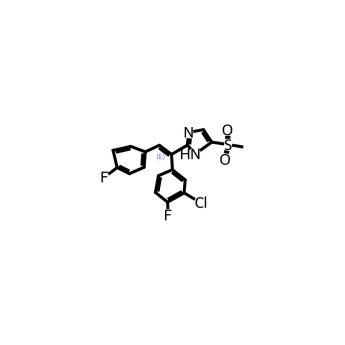 CS(=O)(=O)c1cnc(/C(=C/c2ccc(F)cc2)c2ccc(F)c(Cl)c2)[nH]1